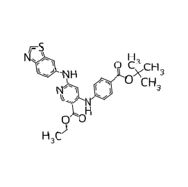 CCOC(=O)c1cnc(Nc2ccc3ncsc3c2)cc1Nc1ccc(C(=O)OC(C)(C)C)cc1